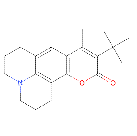 Cc1c(C(C)(C)C)c(=O)oc2c3c4c(cc12)CCCN4CCC3